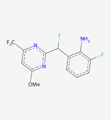 COc1cc(C(F)(F)F)nc(C(F)c2cccc(F)c2N)n1